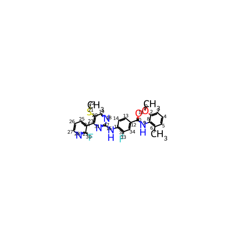 COc1cccc(C)c1NC(=O)c1ccc(Nc2ncc(SC)c(-c3cccnc3F)n2)c(F)c1